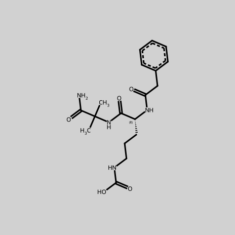 CC(C)(NC(=O)[C@@H](CCCNC(=O)O)NC(=O)Cc1ccccc1)C(N)=O